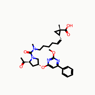 COc1nc(O[C@@H]2C[C@@H](C(C)=O)N(C(=O)N(C)CCCC/C=C\[C@@H]3C[C@]3(C)C(=O)O)C2)cc(-c2ccccc2)n1